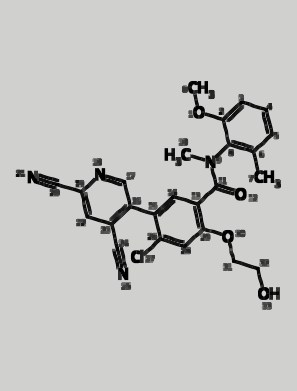 COc1cccc(C)c1N(C)C(=O)c1cc(-c2cnc(C#N)cc2C#N)c(Cl)cc1OCCO